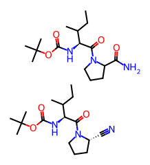 CCC(C)[C@H](NC(=O)OC(C)(C)C)C(=O)N1CCCC1C(N)=O.CCC(C)[C@H](NC(=O)OC(C)(C)C)C(=O)N1CCC[C@H]1C#N